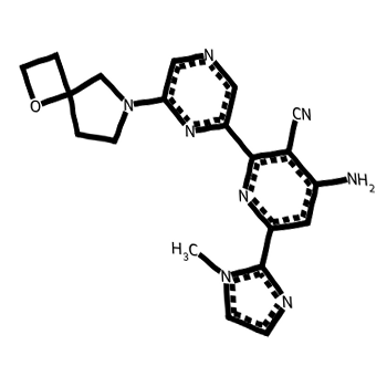 Cn1ccnc1-c1cc(N)c(C#N)c(-c2cncc(N3CCC4(CCO4)C3)n2)n1